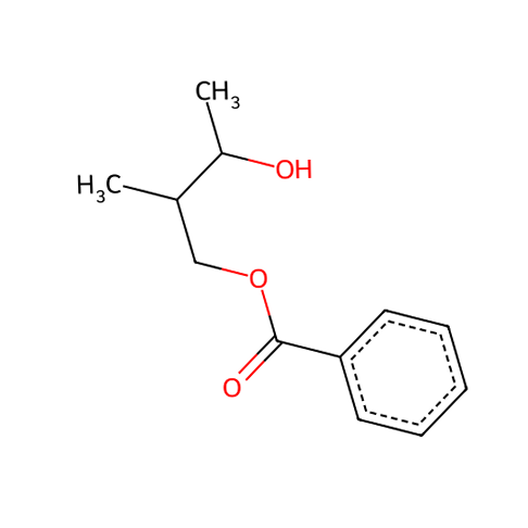 CC(O)C(C)COC(=O)c1ccccc1